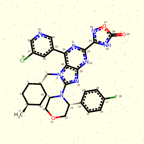 C[C@H]1CC[C@H](Cn2c(N3CCOC[C@H]3c3ccc(F)cc3)nc3nc(-c4noc(=O)[nH]4)nc(-c4cncc(Cl)c4)c32)CC1